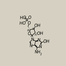 Nc1nc(O)nc2c1ncn2[C@@H]1O[C@H](COP(=O)(O)O)[C@@H](O)[C@@H]1O